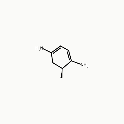 C[C@H]1CC(N)=CC=C1N